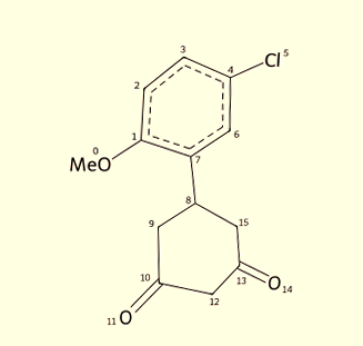 COc1ccc(Cl)cc1C1CC(=O)CC(=O)C1